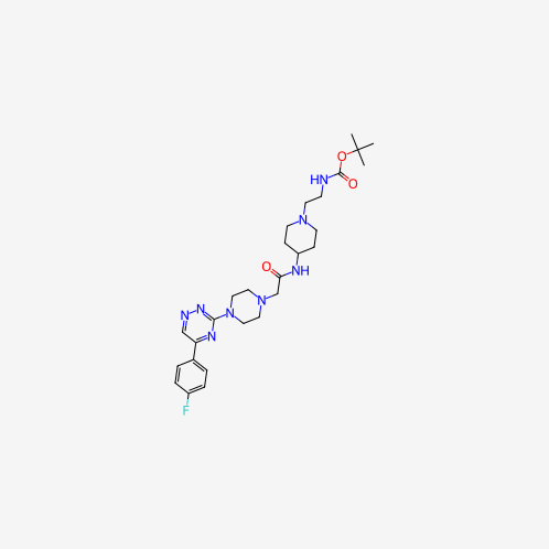 CC(C)(C)OC(=O)NCCN1CCC(NC(=O)CN2CCN(c3nncc(-c4ccc(F)cc4)n3)CC2)CC1